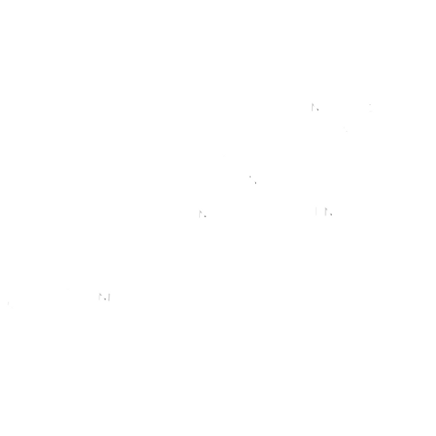 O=C(Nc1ccc(-n2cnc3c(C4CN(C(=S)c5c[nH]c6ccccc56)CCO4)cccc32)cc1)c1ccco1